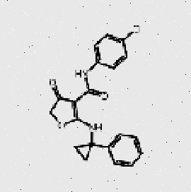 O=C1COC(NC2(c3ccccc3)CC2)=C1C(=O)Nc1ccc(Cl)cc1